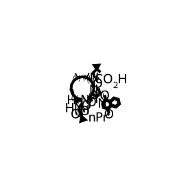 CCCOc1cnc(O[C@@H]2C[C@H]3C(=O)N[C@]4(C(=O)NS(=O)(=O)C5CC5)C[C@H]4C=CCC[C@@H](C)C[C@@H](C)[C@H](N(CC4(C)CC4)C(=O)O)C(=O)N3C2)c2ccccc12